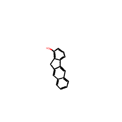 Oc1cccc2c1Cc1cc3ccccc3cc1-2